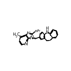 CCCc1nc2c(C)ccnc2n1Cc1ccc2c(c1)CCc1ccccc1N2